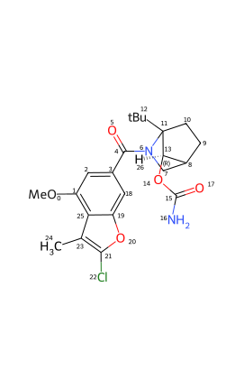 COc1cc(C(=O)N2CC3CCC2(C(C)(C)C)[C@@H]3OC(N)=O)cc2oc(Cl)c(C)c12